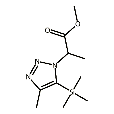 COC(=O)C(C)n1nnc(C)c1[Si](C)(C)C